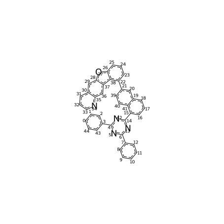 c1ccc(-c2nc(-c3ccccc3)nc(-c3cccc4cc(-c5cccc6oc7cc8cccnc8cc7c56)ccc34)n2)cc1